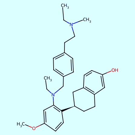 CCN(C)CCc1ccc(CN(CC)c2cc(OC)ccc2[C@@H]2CCc3cc(O)ccc3C2)cc1